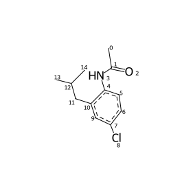 CC(=O)Nc1ccc(Cl)cc1CC(C)C